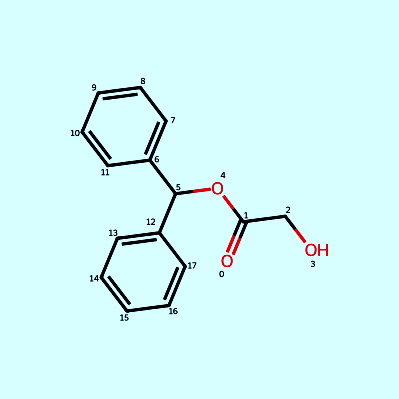 O=C(CO)OC(c1ccccc1)c1ccccc1